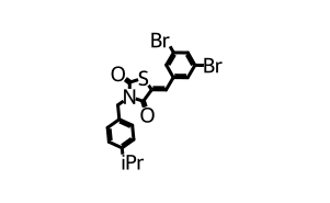 CC(C)c1ccc(CN2C(=O)S/C(=C\c3cc(Br)cc(Br)c3)C2=O)cc1